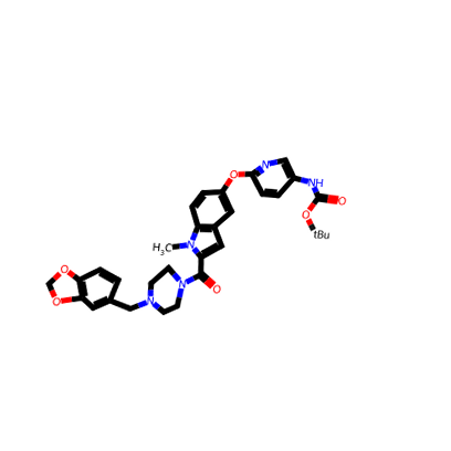 Cn1c(C(=O)N2CCN(Cc3ccc4c(c3)OCO4)CC2)cc2cc(Oc3ccc(NC(=O)OC(C)(C)C)cn3)ccc21